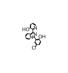 Oc1ccc(Cl)cc1-c1nc(-c2ncccc2O)c2ccccn12